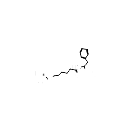 O=C(CCCCCON(O)O)NC(Cc1ccccc1)C(=O)O